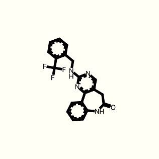 O=C1Cc2cnc(NCc3ccccc3C(F)(F)F)nc2-c2ccccc2N1